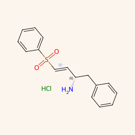 Cl.N[C@H](/C=C/S(=O)(=O)c1ccccc1)Cc1ccccc1